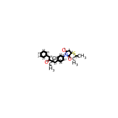 CC(C)SC1CC(=O)N(c2ccc(CC(C)(C)C(=O)Cc3ccccc3)cc2)C1=O